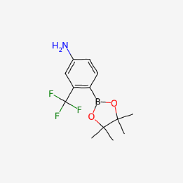 CC1(C)OB(c2ccc(N)cc2C(F)(F)F)OC1(C)C